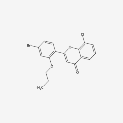 [CH2]CCOc1cc(Br)ccc1-c1cc(=O)c2cccc(Cl)c2o1